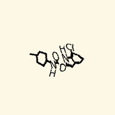 CC1CCC(NC(=O)Oc2cc3cccc(Cl)c3[nH]2)CC1